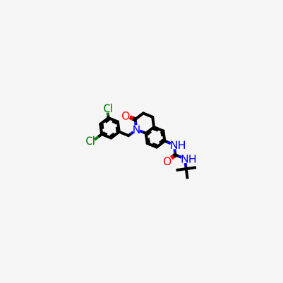 CC(C)(C)NC(=O)Nc1ccc2c(c1)CCC(=O)N2Cc1cc(Cl)cc(Cl)c1